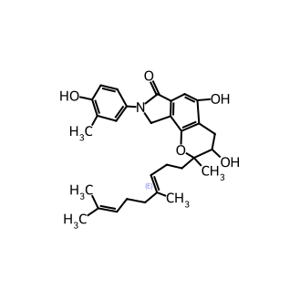 CC(C)=CCC/C(C)=C/CCC1(C)Oc2c(c(O)cc3c2CN(c2ccc(O)c(C)c2)C3=O)CC1O